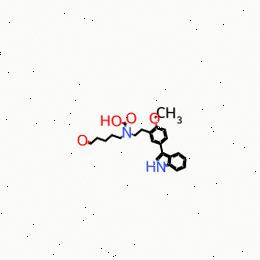 COc1ccc(-c2c[nH]c3ccccc23)cc1CCN(CCCCC=O)C(=O)O